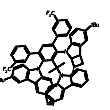 C[C@@H]1CC2c3cc(C(C)(C)C)ccc3N(c3c(-c4cccc(C(F)(F)F)c4)cc(-c4cccc(C(F)(F)F)c4)c(-n4c5ccc(C(C)(C)C)cc5c5cc(C(C)(C)C)ccc54)c3C(C)(C)n3c4ccccc4c4ccccc43)C21